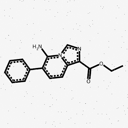 CCOC(=O)c1ncn2c(N)c(-c3ccccc3)ccc12